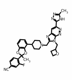 Cc1nnc(-c2cc3nc(CN4CCC(c5cccc6c5OC(C)(c5ccc(C#N)cc5F)O6)CC4)n(CC4CCO4)c3nn2)[nH]1